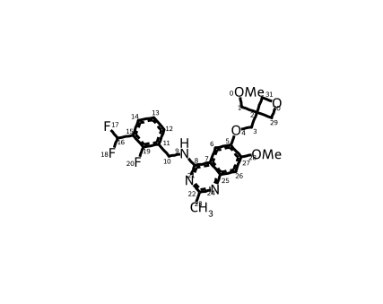 COCC1(COc2cc3c(NCc4cccc(C(F)F)c4F)nc(C)nc3cc2OC)COC1